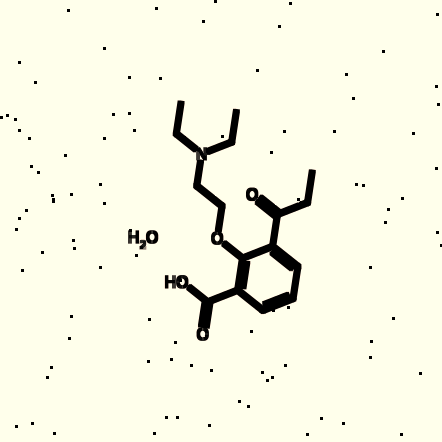 CCC(=O)c1cccc(C(=O)O)c1OCCN(CC)CC.O